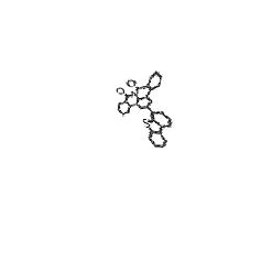 O=c1c2ccccc2c2cc(-c3cccc4c3sc3ccccc34)cc3c4ccccc4c(=O)n1c23